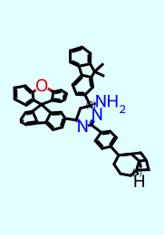 CC1(C)c2ccccc2-c2ccc([C@@]3(N)CC(c4ccc5c(c4)C4(c6ccccc6Oc6ccccc64)c4ccccc4-5)=NC(c4ccc(C56CCC[C@H]7CC(C5)C7(C)C6)cc4)=N3)cc21